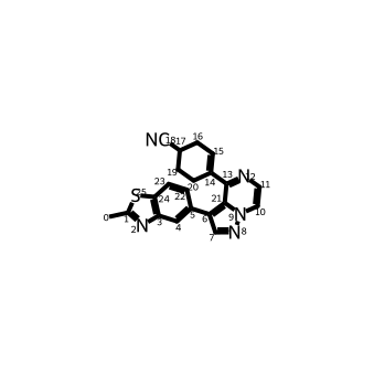 Cc1nc2cc(-c3cnn4ccnc(C5=CCC(C#N)CC5)c34)ccc2s1